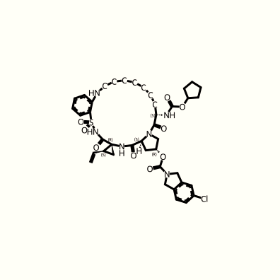 C=C[C@@H]1C[C@@]12NC(=O)[C@@H]1C[C@@H](OC(=O)N3Cc4ccc(Cl)cc4C3)CN1C(=O)[C@@H](NC(=O)OC1CCCC1)CCCCCCCNc1ccccc1S(=O)(=O)NC2=O